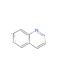 [c]1[c]cc2nc[c]cc2c1